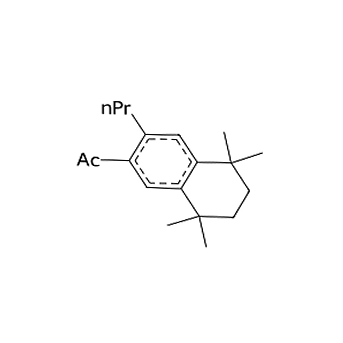 CCCc1cc2c(cc1C(C)=O)C(C)(C)CCC2(C)C